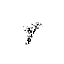 CC(C)[C@H](N)C(=O)N[C@@H](CCCCNC(=O)OC(C)(C)C)C(=O)Nc1ccc(CO)cc1